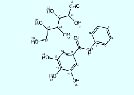 O=C(Nc1ccccc1)c1cc(O)c(O)c(O)c1.O=CC(O)C(O)C(O)C(O)CO